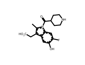 Cc1c(CC(=O)O)c2cc(O)c(F)cc2n1C(=O)C1CCNCC1